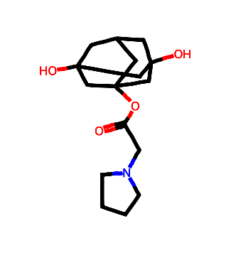 O=C(CN1CCCC1)OC12CC3CC(O)(CC(O)(C3)C1)C2